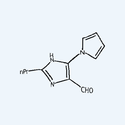 CCCc1nc(C=O)c(-n2cccc2)[nH]1